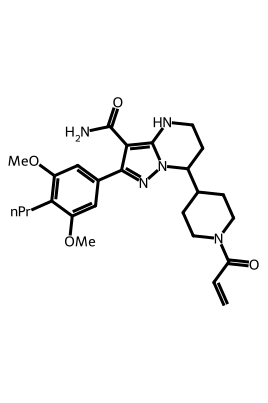 C=CC(=O)N1CCC(C2CCNc3c(C(N)=O)c(-c4cc(OC)c(CCC)c(OC)c4)nn32)CC1